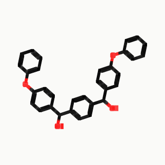 OC(c1ccc(Oc2ccccc2)cc1)c1ccc(C(O)c2ccc(Oc3ccccc3)cc2)cc1